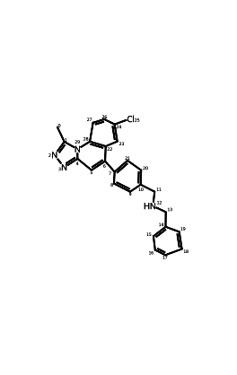 Cc1nnc2cc(-c3ccc(CNCc4ccccc4)cc3)c3cc(Cl)ccc3n12